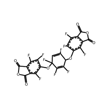 O=C1OC(=O)c2c(F)c(OC3C(F)=CC(F)(Oc4c(F)c(F)c5c(c4F)C(=O)OC5=O)C(F)=C3F)c(F)c(F)c21